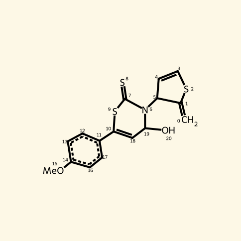 C=C1SC=CC1N1C(=S)SC(c2ccc(OC)cc2)=CC1O